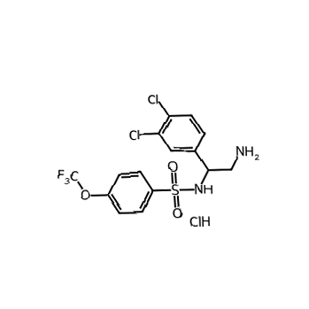 Cl.NCC(NS(=O)(=O)c1ccc(OC(F)(F)F)cc1)c1ccc(Cl)c(Cl)c1